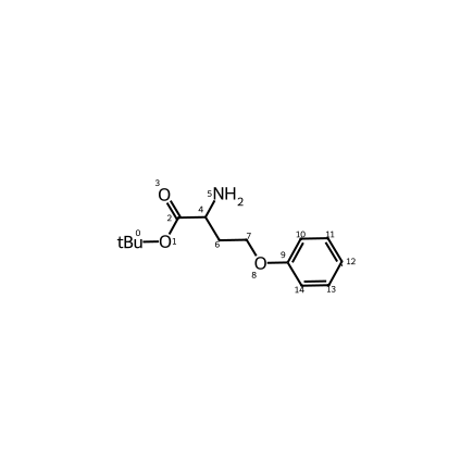 CC(C)(C)OC(=O)C(N)CCOc1cc[c]cc1